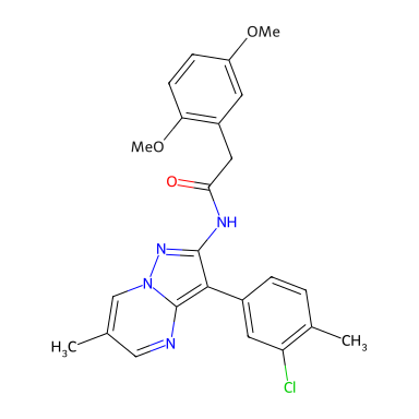 COc1ccc(OC)c(CC(=O)Nc2nn3cc(C)cnc3c2-c2ccc(C)c(Cl)c2)c1